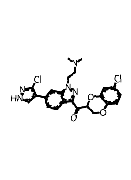 CN(C)CCn1nc(C(=O)C2COc3ccc(Cl)cc3O2)c2ccc(-c3c[nH]nc3Cl)cc21